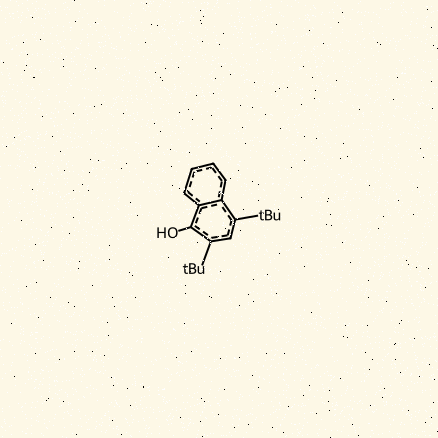 CC(C)(C)c1cc(C(C)(C)C)c2ccccc2c1O